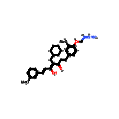 COc1cccc(/C=C/C(O)=C(\CC2CCCCC2)C(=O)/C=C/c2ccc(OCN=[N+]=[N-])c(OC)c2)c1